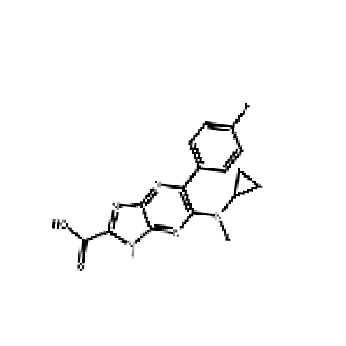 CN(c1nc2[nH]c(C(=O)O)nc2nc1-c1ccc(F)cc1)C1CC1